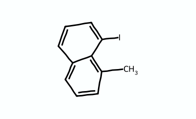 Cc1cccc2cccc(I)c12